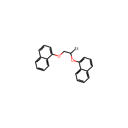 CCC(COc1cccc2ccccc12)Oc1cccc2ccccc12